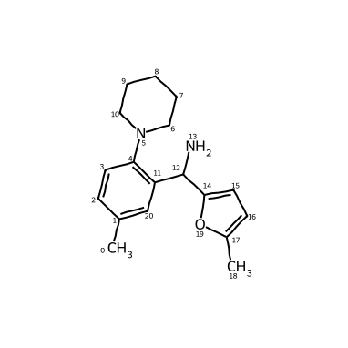 Cc1ccc(N2CCCCC2)c(C(N)c2ccc(C)o2)c1